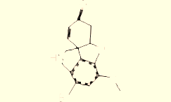 COc1cc(Br)c2c3c1OC1CC(=O)C=CC31CNC2